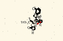 CCOC(=O)/C(F)=C\[C@@H](C[C@H]1CCNC1=O)NC(=O)[C@H]1[C@H]2CC[C@H](CC2(F)F)N1C(=O)[C@@H](CC(C)C)Nc1cccc(Cl)c1